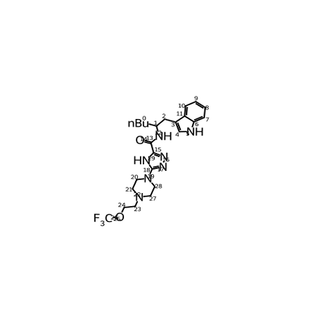 CCCCC(Cc1c[nH]c2ccccc12)NC(=O)c1nnc(N2CCN(CCOC(F)(F)F)CC2)[nH]1